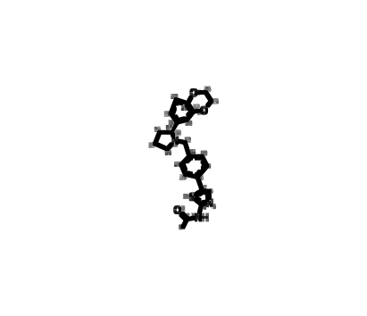 CC(=O)Nc1ncc(-c2ccc(CN3CCC[C@H]3c3ccc4c(c3)OCCO4)cc2)s1